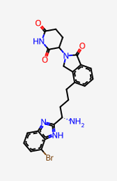 N[C@@H](CCCc1cccc2c1CN(C1CCC(=O)NC1=O)C2=O)c1nc2cccc(Br)c2[nH]1